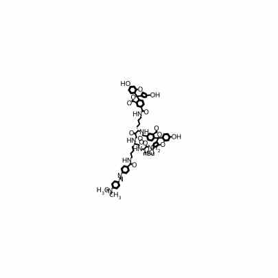 CCCC[C@H](NC(=O)[C@@H](CCCCNC(=O)c1ccc(/N=N/c2ccc(N(C)C)cc2)cc1)NCC(=O)[C@H](CCCCNC(=O)c1ccc2c(c1)C(=O)OC21c2ccc(O)cc2Oc2cc(O)ccc21)NC(=O)c1ccc2c(c1)C(=O)OC21c2ccc(O)cc2Oc2cc(O)ccc21)C(N)=O